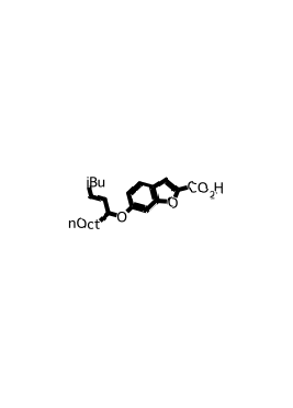 CCCCCCCCC(CCC(C)CC)Oc1ccc2cc(C(=O)O)oc2c1